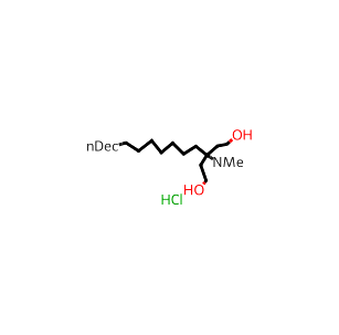 CCCCCCCCCCCCCCCCCC(CCO)(CCO)NC.Cl